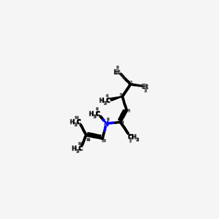 CCC(CC)[C@H](C)/C=C(/C)N(C)C=C(C)C